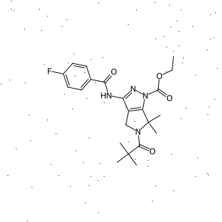 CCOC(=O)n1nc(NC(=O)c2ccc(F)cc2)c2c1C(C)(C)N(C(=O)C(C)(C)C)C2